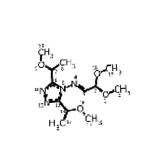 COC(C=Nn1c(C(C)OC)nnc1C(C)OC)OC